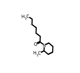 CC[CH]CCCC(=O)N1CCCCC1C